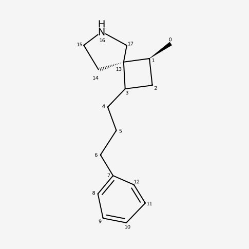 C[C@H]1CC(CCCc2ccccc2)[C@]12CCNC2